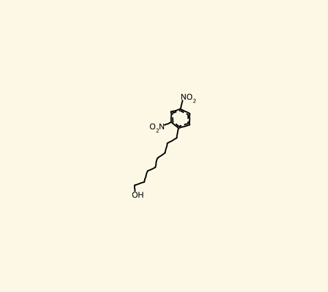 O=[N+]([O-])c1ccc(CCCCCCCCO)c([N+](=O)[O-])c1